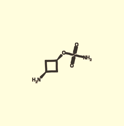 NS(=O)(=O)O[C@H]1C[C@@H](N)C1